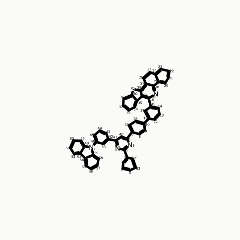 c1ccc(-c2nc(-c3ccc(-c4cccc(-c5nc6c7ccccc7ccc6c6sc7ccccc7c56)c4)cc3)cc(-c3cccc(-n4c5ccccc5c5ccccc54)c3)n2)cc1